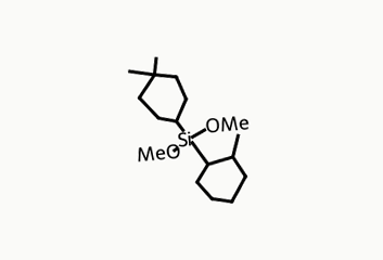 CO[Si](OC)(C1CCC(C)(C)CC1)C1CCCCC1C